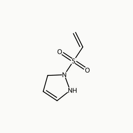 C=CS(=O)(=O)N1CC=CN1